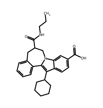 CCCNC(=O)C1Cc2ccccc2-c2c(C3CCCCC3)c3ccc(C(=O)O)cc3n2C1